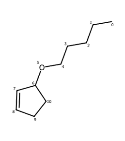 CCCCCOC1C=CCC1